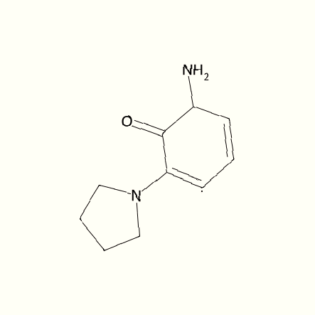 NC1C=C[C]=C(N2CCCC2)C1=O